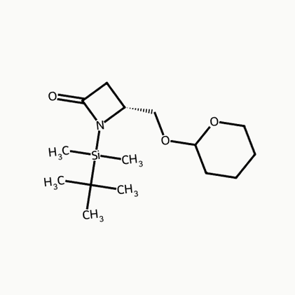 CC(C)(C)[Si](C)(C)N1C(=O)C[C@@H]1COC1CCCCO1